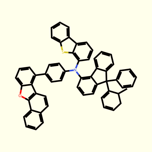 CC1CC=CC=C1C1(c2ccccc2)c2ccccc2-c2c(N(c3ccc(-c4cccc5oc6c7ccccc7ccc6c45)cc3)c3cccc4c3sc3ccccc34)cccc21